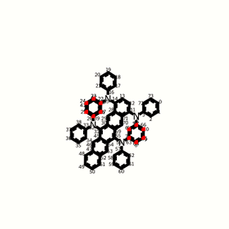 c1ccc(N(c2ccccc2)c2ccc(N(c3ccccc3)c3ccccc3)c3cc4c(N(c5ccccc5)c5ccccc5)c5cc6ccccc6cc5c(N(c5ccccc5)c5ccccc5)c4cc23)cc1